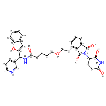 O=C1CCC(N2C(=O)c3cccc(CCOCCCCC(=O)NC(c4cccnc4)c4cc5ccccc5o4)c3C2=O)C(=O)N1